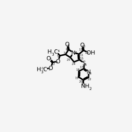 COC(=O)OC(C)C1C(=O)N2C(C(=O)O)=C(Sc3ccc(N)cn3)CC12